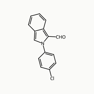 O=Cc1c2ccccc2cn1-c1ccc(Cl)cc1